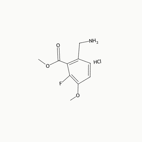 COC(=O)c1c(CN)ccc(OC)c1F.Cl